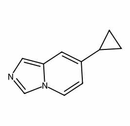 c1cn2cncc2cc1C1CC1